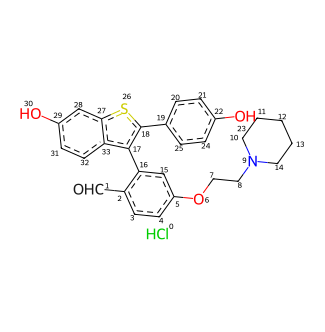 Cl.O=Cc1ccc(OCCN2CCCCC2)cc1-c1c(-c2ccc(O)cc2)sc2cc(O)ccc12